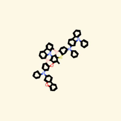 Cc1c2c3c4c5c1Sc1cc(N(c6ccccc6)c6ccc7c8ccccc8n(-c8ccccc8)c7c6)ccc1B5c1cccc5c6cccc(c6n-4c15)B3c1ccc(N(c3ccccc3)c3ccc4c(c3)oc3ccccc34)cc1O2